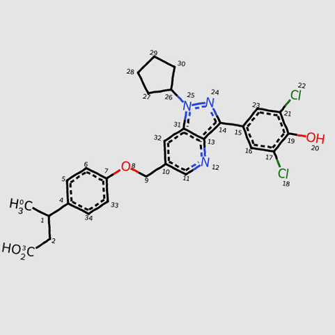 CC(CC(=O)O)c1ccc(OCc2cnc3c(-c4cc(Cl)c(O)c(Cl)c4)nn(C4CCCC4)c3c2)cc1